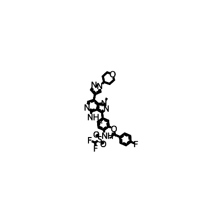 C[C@@H](Oc1cc(-c2nn(C)c3c(-c4cnn(C5CCOCC5)c4)cnc(N)c23)ccc1NS(=O)(=O)C(F)F)c1ccc(F)cc1